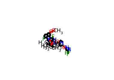 COCOc1cc(-c2ncc3c(OC(C)(C)C)nc(OC[C@@]45CCCN4[C@H](COc4cc(C(F)(F)F)ncn4)CC5)nc3c2F)c2c(C#C[Si](C(C)C)(C(C)C)C(C)C)c(F)ccc2c1